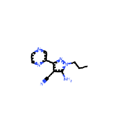 CCCn1nc(-c2cnccn2)c(C#N)c1N